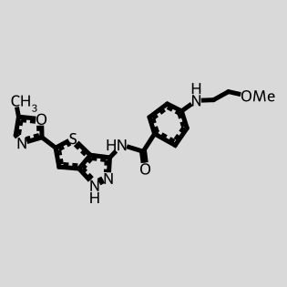 COCCNc1ccc(C(=O)Nc2n[nH]c3cc(-c4ncc(C)o4)sc23)cc1